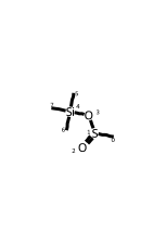 CS(=O)O[Si](C)(C)C